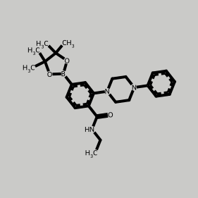 CCNC(=O)c1ccc(B2OC(C)(C)C(C)(C)O2)cc1N1CCN(c2ccccc2)CC1